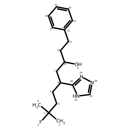 CC(C)(F)CCC(CC(O)[CH]Cc1ccccc1)c1nnc[nH]1